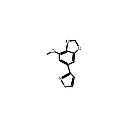 COc1cc(-c2ccsn2)cc2c1OCO2